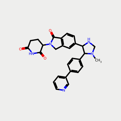 CN1CNC(c2ccc3c(c2)CN(C2CCC(=O)NC2=O)C3=O)C1c1ccc(-c2cccnc2)cc1